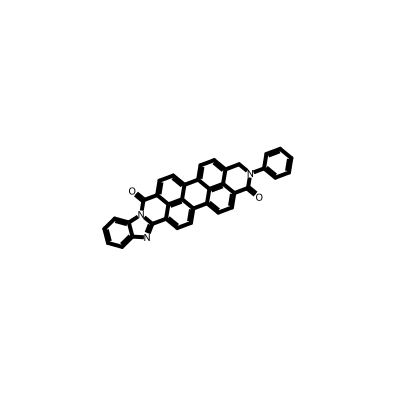 O=C1c2ccc3c4ccc5c6c(ccc(c7ccc(c2c73)CN1c1ccccc1)c46)c(=O)n1c2ccccc2nc51